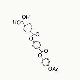 CC(=O)Oc1ccc(OC(=O)c2ccc(OC(=O)C3CCC(C(O)O)CC3)cc2)cc1